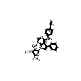 C[C@@H]1O[C@@H](n2cc(-c3ccccc3)c3c(Nc4ccc(C#N)cc4)ncnc32)[C@H](O)[C@@H]1O